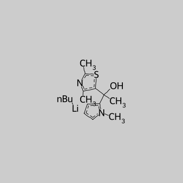 Cc1nc(C)c(C(C)(O)c2cccn2C)s1.[Li][CH2]CCC